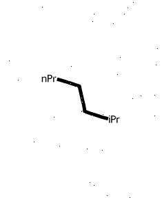 [CH2]CCC[CH]C(C)C